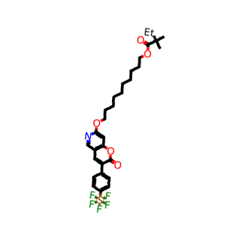 CCC(C)(C)C(=O)OCCCCCCCCCCOc1cc2oc(=O)c(-c3ccc(S(F)(F)(F)(F)F)cc3)cc2cn1